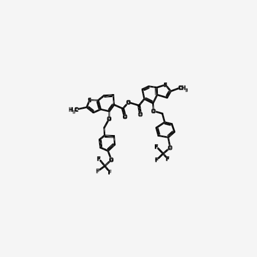 Cc1cc2c(OCc3ccc(OC(F)(F)F)cc3)c(C(=O)OC(=O)c3ccc4sc(C)cc4c3OCc3ccc(OC(F)(F)F)cc3)ccc2s1